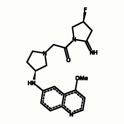 COc1ccnc2ccc(N[C@@H]3CCN(CC(=O)N4C[C@@H](F)CC4=N)C3)cc12